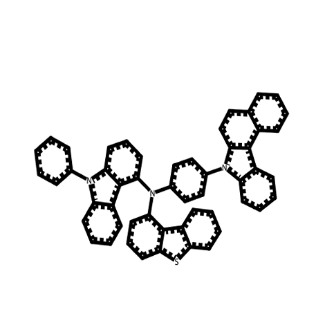 c1ccc(-n2c3ccccc3c3c(N(c4ccc(-n5c6ccccc6c6c7ccccc7ccc65)cc4)c4cccc5sc6ccccc6c45)cccc32)cc1